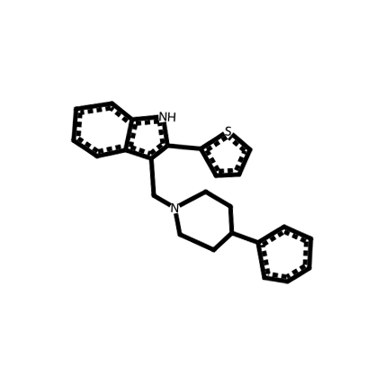 c1ccc(C2CCN(Cc3c(-c4cccs4)[nH]c4ccccc34)CC2)cc1